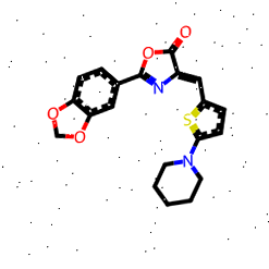 O=C1OC(c2ccc3c(c2)OCO3)=NC1=Cc1ccc(N2CCCCC2)s1